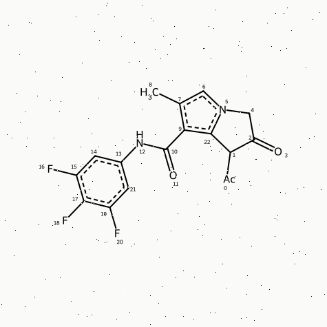 CC(=O)C1C(=O)Cn2cc(C)c(C(=O)Nc3cc(F)c(F)c(F)c3)c21